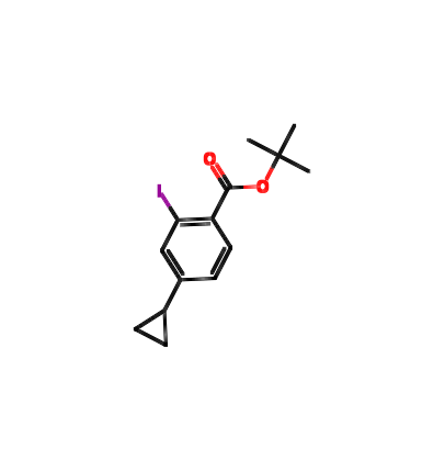 CC(C)(C)OC(=O)c1ccc(C2CC2)cc1I